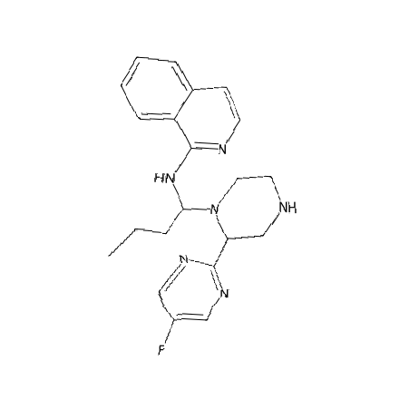 CCCC(Nc1nccc2ccccc12)N1CCNCC1c1ncc(F)cn1